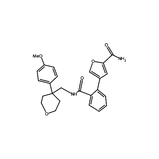 COc1ccc(C2(CNC(=O)c3ccccc3-c3coc(C(N)=O)c3)CCOCC2)cc1